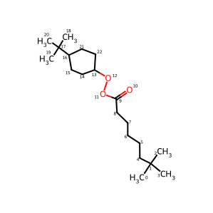 CC(C)(C)CCCCCC(=O)OOC1CCC(C(C)(C)C)CC1